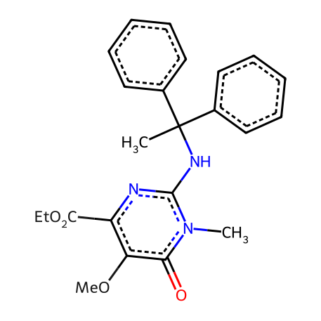 CCOC(=O)c1nc(NC(C)(c2ccccc2)c2ccccc2)n(C)c(=O)c1OC